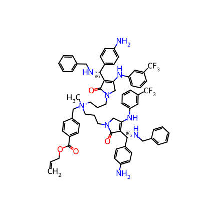 C=CCOC(=O)c1ccc(C[N+](C)(CCCN2CC(Nc3cccc(C(F)(F)F)c3)=C([C@H](NCc3ccccc3)c3ccc(N)cc3)C2=O)CCCN2CC(Nc3cccc(C(F)(F)F)c3)=C([C@H](NCc3ccccc3)c3ccc(N)cc3)C2=O)cc1